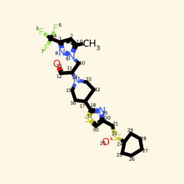 Cc1cc(C(F)(F)F)nn1CC(C=O)N1CCC(c2nc(C[S+]([O-])C3CCCCC3)cs2)CC1